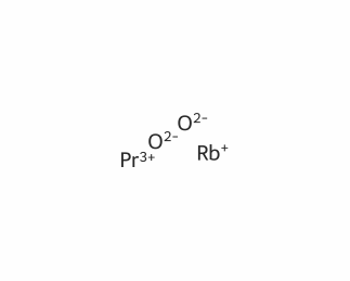 [O-2].[O-2].[Pr+3].[Rb+]